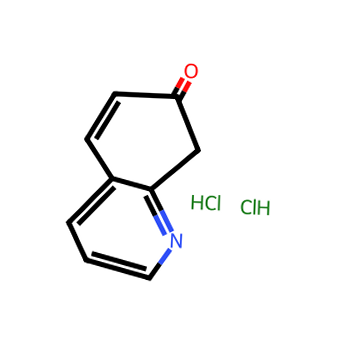 Cl.Cl.O=C1C=Cc2cccnc2C1